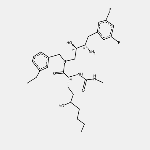 CCCCC(O)CC[C@@H](NC(=O)NC)C(=O)N(Cc1cccc(CC)c1)C[C@@H](O)[C@@H](N)Cc1cc(F)cc(F)c1